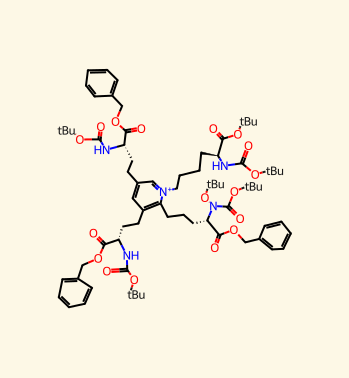 CC(C)(C)OC(=O)N[C@@H](CCc1cc(CC[C@H](NC(=O)OC(C)(C)C)C(=O)OCc2ccccc2)c(CCC[C@@H](C(=O)OCc2ccccc2)N(OC(C)(C)C)C(=O)OC(C)(C)C)[n+](CCCC[C@H](NC(=O)OC(C)(C)C)C(=O)OC(C)(C)C)c1)C(=O)OCc1ccccc1